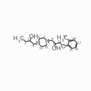 CCC(O)CN1CCN(CC(O)COc2ccccc2C)CC1